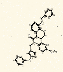 COc1ccc(N(Cc2cnn(Cc3ccccn3)c2)C(=O)C2CCCc3c(OCc4ccccc4)cccc32)cn1